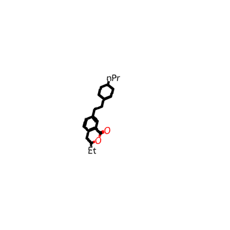 CCCC1CCC(CCc2ccc3c(c2)C(=O)OC(CC)C3)CC1